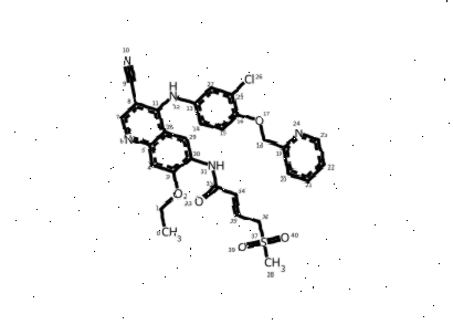 CCOc1cc2ncc(C#N)c(Nc3ccc(OCc4ccccn4)c(Cl)c3)c2cc1NC(=O)/C=C/CS(C)(=O)=O